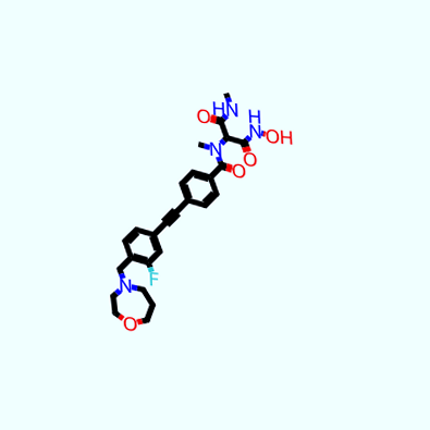 CNC(=O)C(C(=O)NO)N(C)C(=O)c1ccc(C#Cc2ccc(CN3CCCOCC3)c(F)c2)cc1